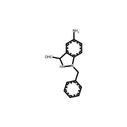 Nc1ccc2c(c1)C(C=O)NN2Cc1ccccc1